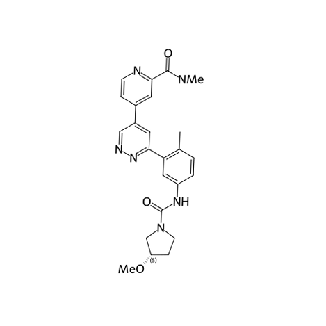 CNC(=O)c1cc(-c2cnnc(-c3cc(NC(=O)N4CC[C@H](OC)C4)ccc3C)c2)ccn1